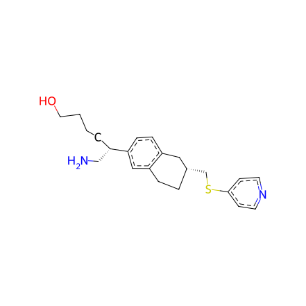 NC[C@H](CCCCO)c1ccc2c(c1)CC[C@@H](CSc1ccncc1)C2